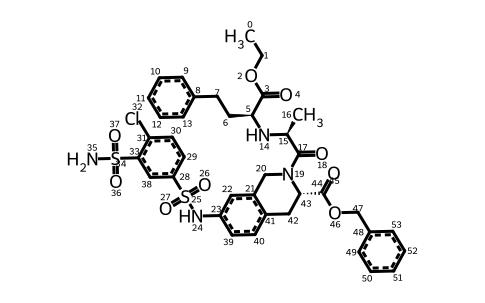 CCOC(=O)[C@H](CCc1ccccc1)N[C@@H](C)C(=O)N1Cc2cc(NS(=O)(=O)c3ccc(Cl)c(S(N)(=O)=O)c3)ccc2C[C@H]1C(=O)OCc1ccccc1